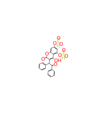 O=C(c1ccccc1)C(c1ccccc1)c1c(O)c2c(O[SH](=O)=O)cc(O[SH](=O)=O)cc2oc1=O